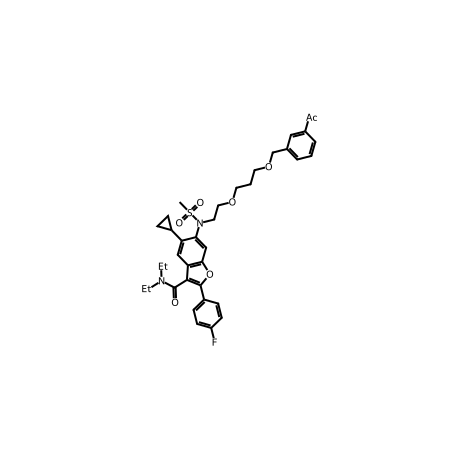 CCN(CC)C(=O)c1c(-c2ccc(F)cc2)oc2cc(N(CCOCCCOCc3cccc(C(C)=O)c3)S(C)(=O)=O)c(C3CC3)cc12